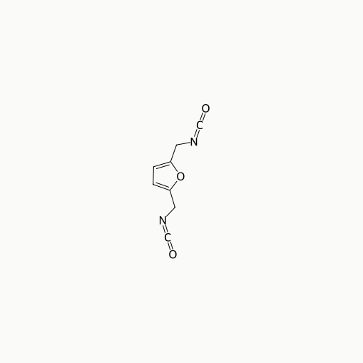 O=C=NCc1ccc(CN=C=O)o1